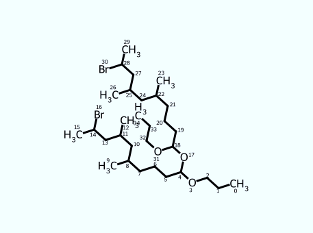 CCCOC(CCCC(C)CC(C)CC(C)Br)OC(CCCC(C)CC(C)CC(C)Br)OCCC